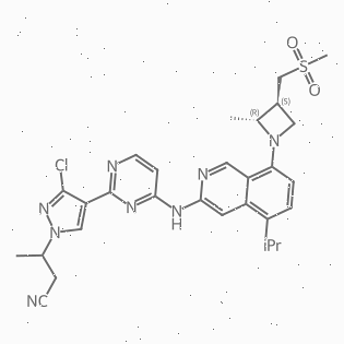 CC(C)c1ccc(N2C[C@H](CS(C)(=O)=O)[C@H]2C)c2cnc(Nc3ccnc(-c4cn(C(C)CC#N)nc4Cl)n3)cc12